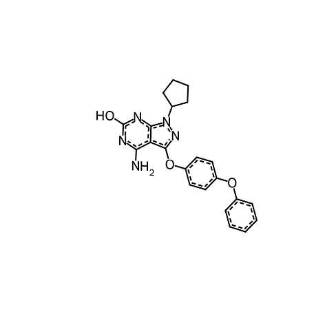 Nc1nc(O)nc2c1c(Oc1ccc(Oc3ccccc3)cc1)nn2C1CCCC1